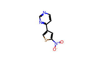 O=[N+]([O-])c1cc(-c2ccncn2)cs1